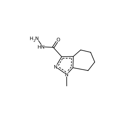 Cn1nc(C(=O)NN)c2c1CCCC2